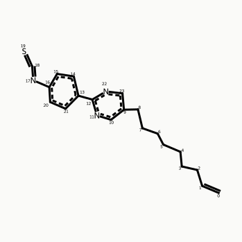 C=CCCCCCCCc1cnc(-c2ccc(N=C=S)cc2)nc1